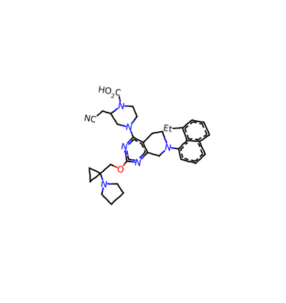 CCc1cccc2cccc(N3CCc4c(nc(OCC5(N6CCCC6)CC5)nc4N4CCN(C(=O)O)C(CC#N)C4)C3)c12